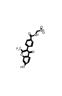 O=C(NC[SH](=O)=O)c1ccc(-c2c(C(F)(F)F)oc3cc(O)ccc3c2=O)cc1